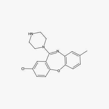 Cc1ccc2c(c1)N=C(N1CCNCC1)c1cc(Cl)ccc1O2